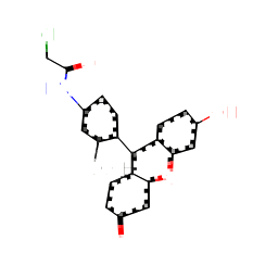 O=C(CCl)Nc1ccc(-c2c3ccc(=O)cc-3oc3cc(O)ccc23)c(C(=O)O)c1